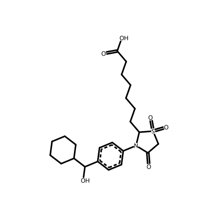 O=C(O)CCCCCCC1N(c2ccc(C(O)C3CCCCC3)cc2)C(=O)CS1(=O)=O